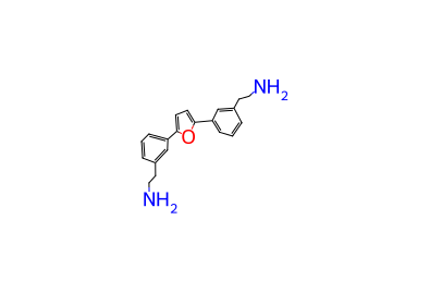 NCCc1cccc(-c2ccc(-c3cccc(CCN)c3)o2)c1